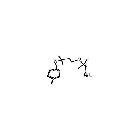 Cc1ccc(OC(C)(C)CCOC(C)(C)CN)cc1